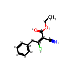 CCOC(=O)/C(C#N)=C(/Cl)Cc1ccccc1